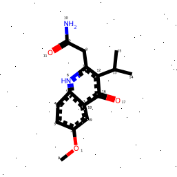 COc1ccc2[nH]c(CC(N)=O)c(C(C)C)c(=O)c2c1